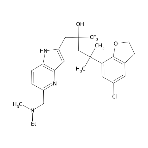 CCN(C)Cc1ccc2[nH]c(CC(O)(CC(C)(C)c3cc(Cl)cc4c3OCC4)C(F)(F)F)cc2n1